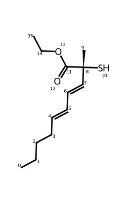 CCCC/C=C/C=C/[C@@](C)(S)C(=O)OCC